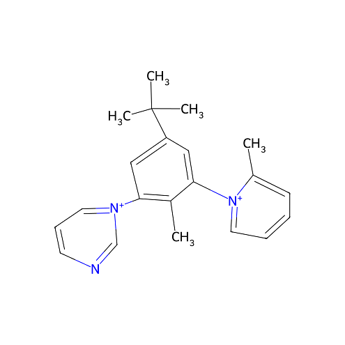 Cc1c(-[n+]2cccnc2)cc(C(C)(C)C)cc1-[n+]1ccccc1C